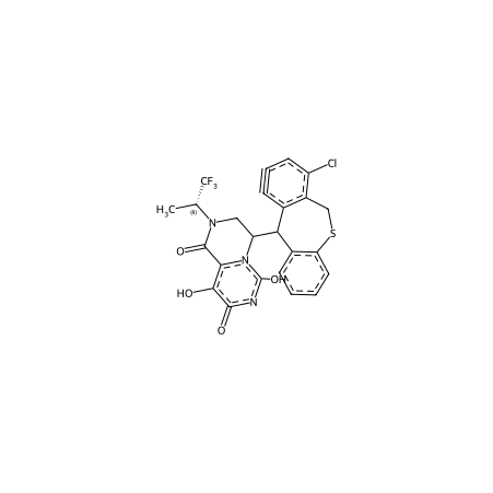 C[C@@H](N1CC(C2c3c#ccc(Cl)c3CSc3ccccc32)n2c(O)nc(=O)c(O)c2C1=O)C(F)(F)F